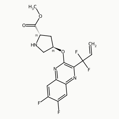 C=CC(F)(F)c1nc2cc(F)c(F)cc2nc1O[C@H]1CN[C@H](C(=O)OC)C1